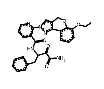 CCOc1cccc2c1OCc1cn(-c3ncccc3C(=O)NC(Cc3ccccc3)C(=O)C(N)=O)nc1-2